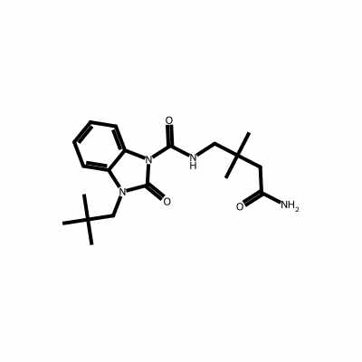 CC(C)(C)Cn1c(=O)n(C(=O)NCC(C)(C)CC(N)=O)c2ccccc21